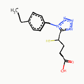 CCc1ccc(-n2nnnc2C(S)CCC(=O)O)cc1